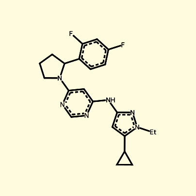 CCn1nc(Nc2cc(N3CCCC3c3ccc(F)cc3F)ncn2)cc1C1CC1